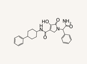 NC(=O)C(c1ccccc1)N1CC(C(=O)NC2CCC(c3ccccc3)CC2)=C(O)C1=O